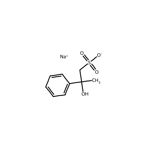 CC(O)(CS(=O)(=O)[O-])c1ccccc1.[Na+]